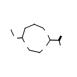 COC1CCCCC(C(=O)O)CCCC1